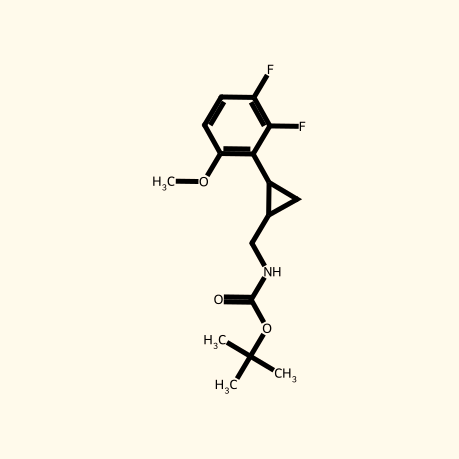 COc1ccc(F)c(F)c1C1CC1CNC(=O)OC(C)(C)C